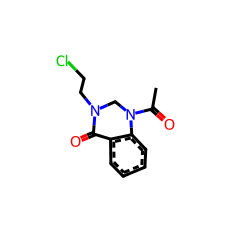 CC(=O)N1CN(CCCl)C(=O)c2ccccc21